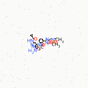 CCN(Cc1nc(-c2cccc(Nc3cc(NC(=O)C4CC4)nnc3C(N)=O)c2OC)no1)S(C)(=O)=O